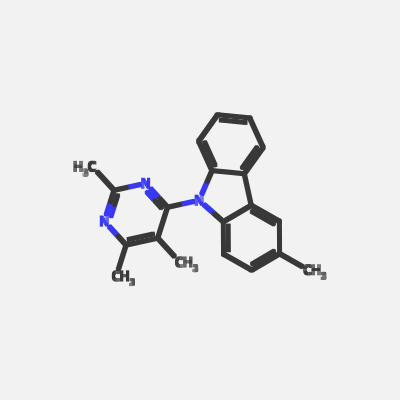 Cc1ccc2c(c1)c1ccccc1n2-c1nc(C)nc(C)c1C